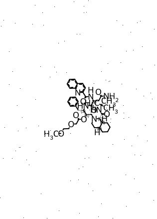 COCCOCC(=O)O[C@H](CN1CC[C@H]2CCCC[C@H]2[C@H]1C(=O)NC(C)(C)C)[C@H](Cc1ccccc1)NC(=O)[C@H](CC(N)=O)NC(=O)c1ccc2ccccc2n1